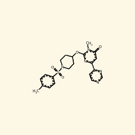 Cc1ccc(S(=O)(=O)N2CCC(Oc3nc(-c4ccncn4)cc(=O)n3C)CC2)cc1